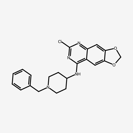 Clc1nc(NC2CCN(Cc3ccccc3)CC2)c2cc3c(cc2n1)OCO3